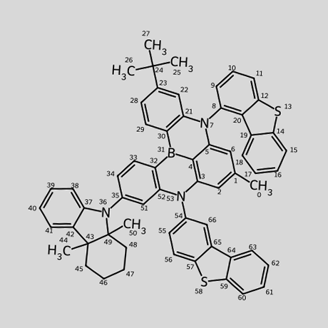 Cc1cc2c3c(c1)N(c1cccc4sc5ccccc5c14)c1cc(C(C)(C)C)ccc1B3c1ccc(N3c4ccccc4C4(C)CCCCC34C)cc1N2c1ccc2sc3ccccc3c2c1